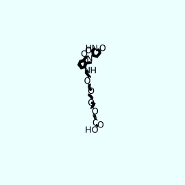 O=C(O)CCCOCCOCCOCCOCCNc1cccc2c1CN(C1CCC(=O)NC1=O)C2=O